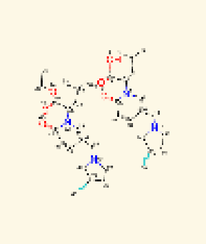 CC(C)CC(C(=O)O)n1cc(CN2CC[C@@H](F)C2)ccc1=O.CCOC(=O)C(CC(C)C)n1cc(CN2CC[C@@H](F)C2)ccc1=O